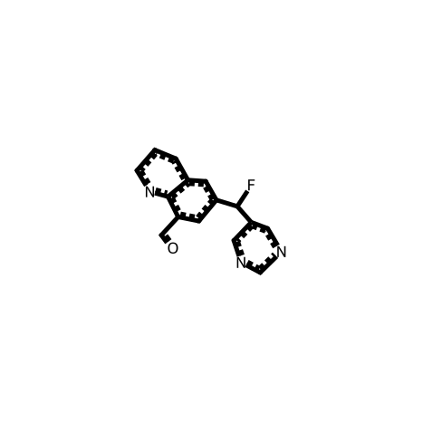 O=Cc1cc(C(F)c2cncnc2)cc2cccnc12